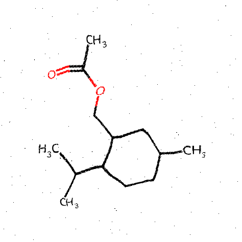 CC(=O)OCC1CC(C)CCC1C(C)C